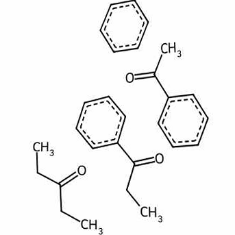 CC(=O)c1ccccc1.CCC(=O)CC.CCC(=O)c1ccccc1.c1ccccc1